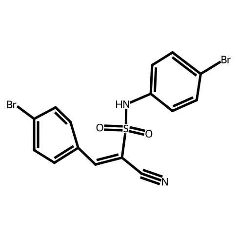 N#C/C(=C/c1ccc(Br)cc1)S(=O)(=O)Nc1ccc(Br)cc1